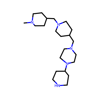 CN1CCC(CN2CCC(CN3CCN(C4CCNCC4)CC3)CC2)CC1